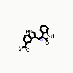 COC(=O)c1ccc2[nH]cc(/C=C3/C(=O)Nc4ccccc43)c2c1